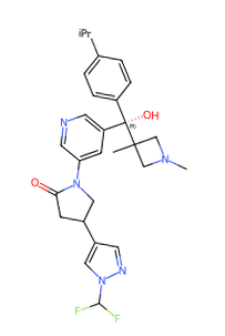 CC(C)c1ccc([C@](O)(c2cncc(N3CC(c4cnn(C(F)F)c4)CC3=O)c2)C2(C)CN(C)C2)cc1